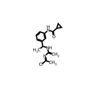 C=C(/N=C(\C)Cl)NC(C)c1cccc(NC(=O)C2CC2)c1